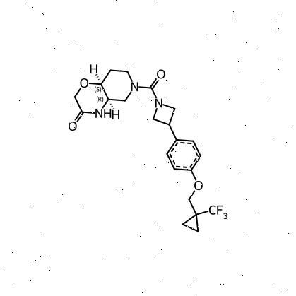 O=C1CO[C@H]2CCN(C(=O)N3CC(c4ccc(OCC5(C(F)(F)F)CC5)cc4)C3)C[C@H]2N1